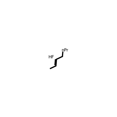 CC=CCCCC.F